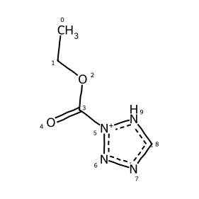 CCOC(=O)[n+]1nn[c][nH]1